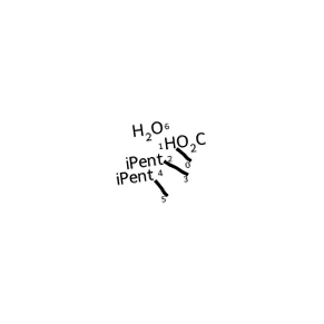 CC(=O)O.CCCC(C)C.CCCC(C)C.O